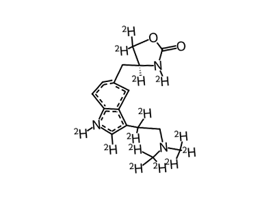 [2H]c1c(C([2H])([2H])CN(C([2H])([2H])[2H])C([2H])([2H])[2H])c2cc(C[C@]3([2H])N([2H])C(=O)OC3([2H])[2H])ccc2n1[2H]